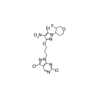 CCc1c([N+](=O)[O-])c(OCCCn2nc(Cl)c3cnc(Cl)nc32)nn1C1CCOCC1F